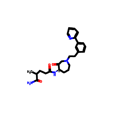 CC(C[CH]C(=O)N[C@H]1CCCN(CCc2cccc(-c3ccccn3)c2)CC1=O)C(N)=O